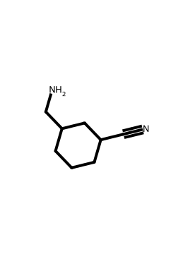 N#CC1CCCC(CN)C1